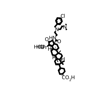 CC(C)C1=C2[C@H]3CC[C@@H]4[C@@]5(C)CC=C(C6=CC[C@@H](C(=O)O)CC6)C(C)(C)[C@@H]5CC[C@@]4(C)[C@]3(C)CC[C@@]2(C(=O)NCCN(CCN(C)C)Cc2ccc(Cl)cc2)CC1=O.Cl.Cl